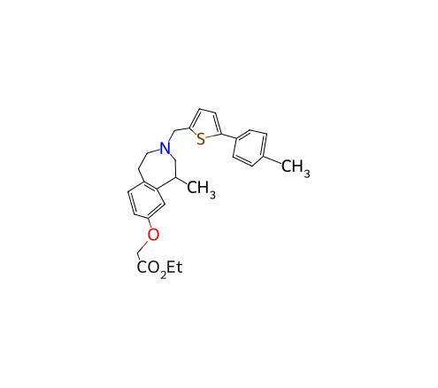 CCOC(=O)COc1ccc2c(c1)C(C)CN(Cc1ccc(-c3ccc(C)cc3)s1)CC2